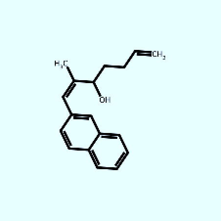 C=CCCC(O)C(C)=Cc1ccc2ccccc2c1